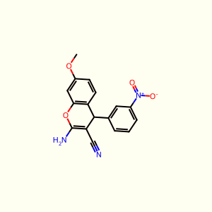 COc1ccc2c(c1)OC(N)=C(C#N)C2c1cccc([N+](=O)[O-])c1